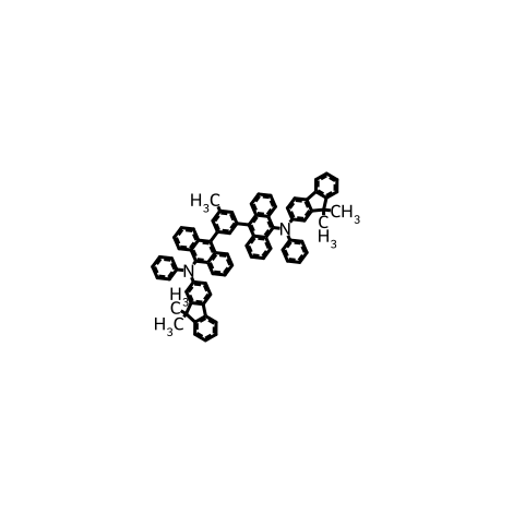 Cc1cc(-c2c3ccccc3c(N(c3ccccc3)c3ccc4c(c3)C(C)(C)c3ccccc3-4)c3ccccc23)cc(-c2c3ccccc3c(N(c3ccccc3)c3ccc4c(c3)C(C)(C)c3ccccc3-4)c3ccccc23)c1